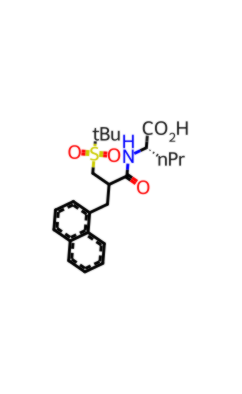 CCC[C@H](NC(=O)C(Cc1cccc2ccccc12)CS(=O)(=O)C(C)(C)C)C(=O)O